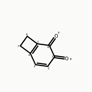 O=C1[C]=CC2=C(CC2)C1=O